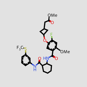 COC(=O)CC1CC(Oc2cc(C(=O)NC3CCCCC3C(=O)Nc3cccc(SC(F)(F)F)c3)c(OC)cc2F)C1